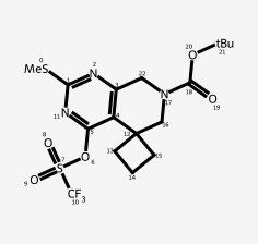 CSc1nc2c(c(OS(=O)(=O)C(F)(F)F)n1)C1(CCC1)CN(C(=O)OC(C)(C)C)C2